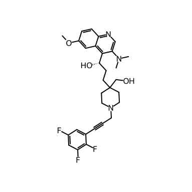 COc1ccc2ncc(N(C)C)c([C@@H](O)CCC3(CO)CCN(CC#Cc4cc(F)cc(F)c4F)CC3)c2c1